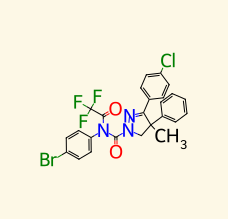 CC1(c2ccccc2)CN(C(=O)N(C(=O)C(F)(F)F)c2ccc(Br)cc2)N=C1c1ccc(Cl)cc1